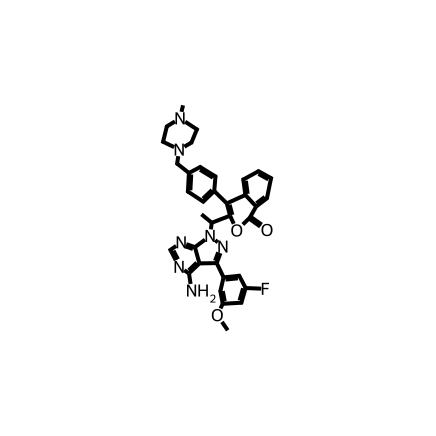 COc1cc(F)cc(-c2nn(C(C)c3oc(=O)c4ccccc4c3-c3ccc(CN4CCN(C)CC4)cc3)c3ncnc(N)c23)c1